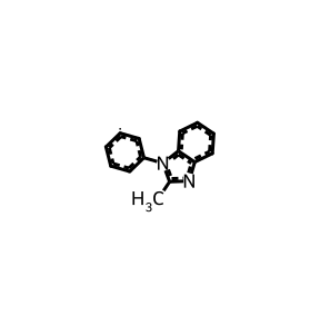 Cc1nc2ccccc2n1-c1c[c]ccc1